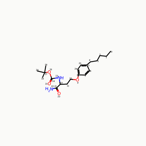 CCCCCc1ccc(OCCC(NC(=O)OC(C)(C)C)C(N)=O)cc1